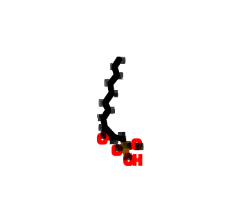 CCCCCCCCC1OC1CS(=O)(=O)O